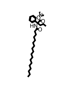 CCCCCCCCCCCCCCCCCC(=O)NC(CCC)(C(=O)ON(C)C)c1ccccc1